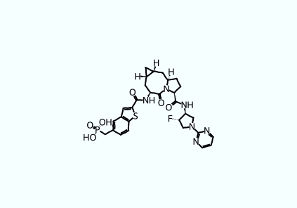 O=C(N[C@H]1C[C@@H]2C[C@@H]2C[C@H]2CC[C@@H](C(=O)N[C@H]3CN(c4ncccn4)C[C@@H]3F)N2C1=O)c1cc2cc(CP(=O)(O)O)ccc2s1